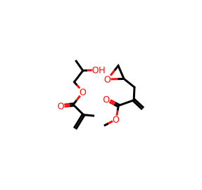 C=C(C)C(=O)OCC(C)O.C=C(CC1CO1)C(=O)OC